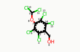 OCc1c(Cl)c(Cl)c(OC(Cl)Cl)c(Cl)c1Cl